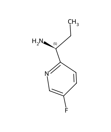 CC[C@H](N)c1ccc(F)cn1